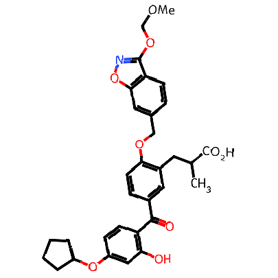 COCOc1noc2cc(COc3ccc(C(=O)c4ccc(OC5CCCC5)cc4O)cc3CC(C)C(=O)O)ccc12